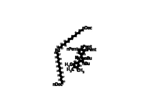 CCCCCCCCCCCCCCCCCCCCCCC[CH2][Pd][CH2]CCCCCCCCCCCCCCCCCCCCCCC.CCCCCc1cc(C2=C(CCCC)C(CCCC)=C(c3cc(C)c(C)c(C)c3)[N+]2=[N-])cc(CCCCC)c1CCCCC